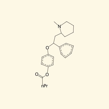 CCCC(=O)Oc1ccc(OC(CC2CCCCN2C)c2ccccc2)cc1